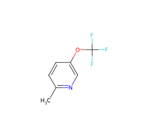 Cc1ccc(OC(F)(F)F)cn1